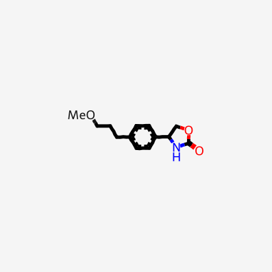 COCCCc1ccc(C2COC(=O)N2)cc1